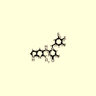 Cc1nc2[nH]ccc2cc1Nc1nc(=O)c(F)cn1Cc1cc(F)c(F)c(F)c1